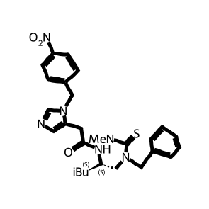 CC[C@H](C)[C@@H](CN(Cc1ccccc1)C(=S)NC)NC(=O)Cc1cncn1Cc1ccc([N+](=O)[O-])cc1